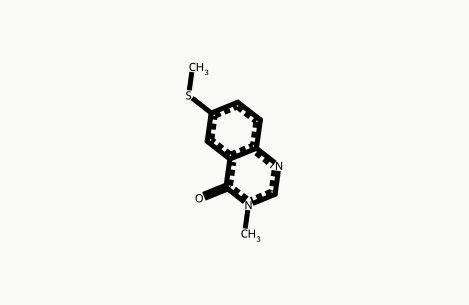 CSc1ccc2ncn(C)c(=O)c2c1